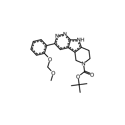 COCOc1ccccc1-c1cc2c3c([nH]c2nn1)CCN(C(=O)OC(C)(C)C)C3